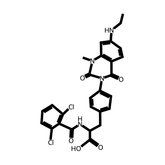 CCNc1ccc2c(=O)n(-c3ccc(CC(NC(=O)c4c(Cl)cccc4Cl)C(=O)O)cc3)c(=O)n(C)c2c1